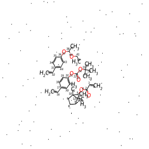 C=CC(=O)OC1CC2CCC1(C)C2(C)C.C=Cc1ccc(OC(=O)OC(C)(C)C)cc1.C=Cc1ccc(OC(C)OCC)cc1